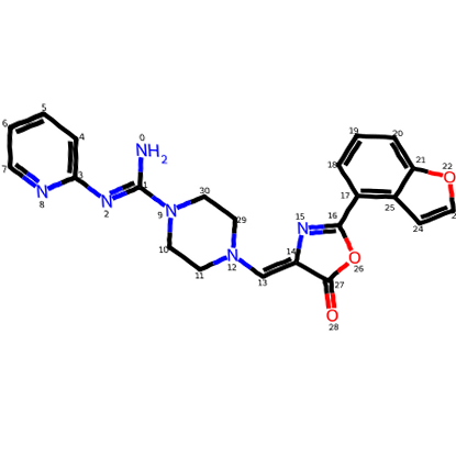 NC(=Nc1ccccn1)N1CCN(C=C2N=C(c3cccc4occc34)OC2=O)CC1